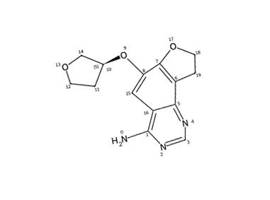 Nc1ncnc2c3c(c(O[C@H]4CCOC4)cc12)OCC3